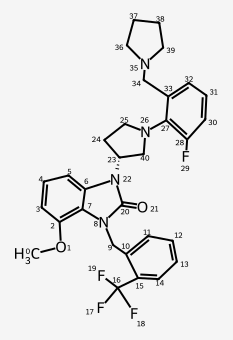 COc1cccc2c1n(Cc1ccccc1C(F)(F)F)c(=O)n2[C@@H]1CCN(c2c(F)cccc2CN2CCCC2)C1